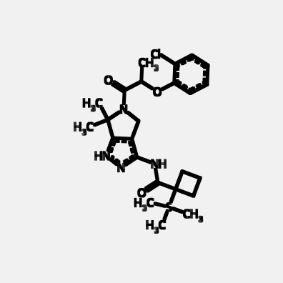 CC(Oc1ccccc1Cl)C(=O)N1Cc2c(NC(=O)C3(S(C)(C)C)CCC3)n[nH]c2C1(C)C